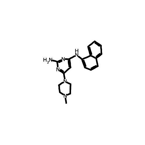 CN1CCN(c2cc(Nc3cccc4ccccc34)nc(N)n2)CC1